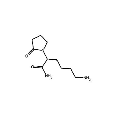 NCCCC[C@@H](C(N)=O)N1CCCC1=O